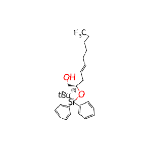 CC(C)(C)[Si](O[C@@H](CO)CC=CCCCCC(F)(F)F)(c1ccccc1)c1ccccc1